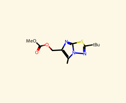 COC(=O)OCc1nc2sc(C(C)(C)C)nn2c1C